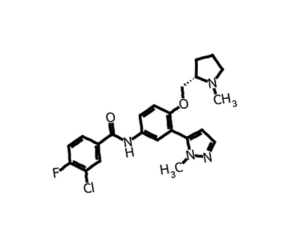 CN1CCC[C@H]1COc1ccc(NC(=O)c2ccc(F)c(Cl)c2)cc1-c1ccnn1C